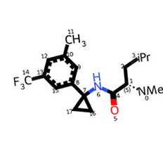 CN[C@@H](CC(C)C)C(=O)NC1(c2cc(C)cc(C(F)(F)F)c2)CC1